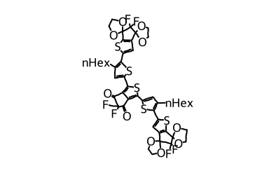 CCCCCCc1cc(-c2sc(-c3cc(CCCCCC)c(-c4cc5c(s4)C4(OCCO4)C(F)(F)C54OCCO4)s3)c3c2C(=O)C(F)(F)C3=O)sc1-c1cc2c(s1)C1(OCCO1)C(F)(F)C21OCCO1